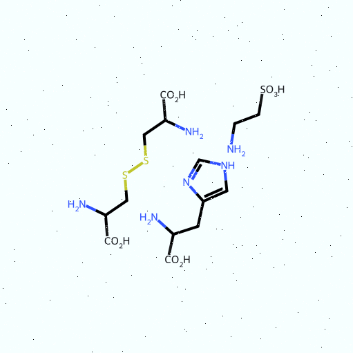 NC(CSSCC(N)C(=O)O)C(=O)O.NC(Cc1c[nH]cn1)C(=O)O.NCCS(=O)(=O)O